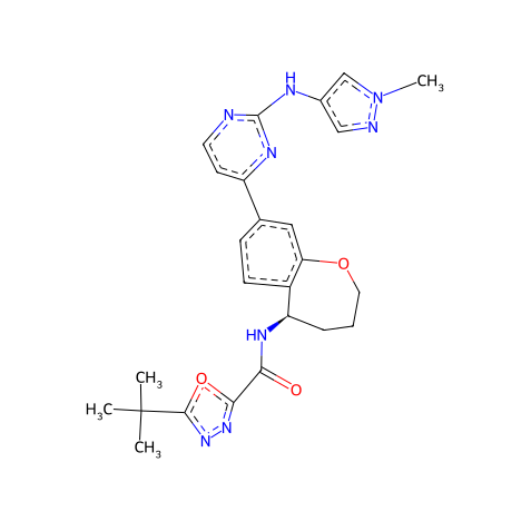 Cn1cc(Nc2nccc(-c3ccc4c(c3)OCCC[C@H]4NC(=O)c3nnc(C(C)(C)C)o3)n2)cn1